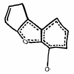 [O]c1cccc2c3c(oc12)C=CC3